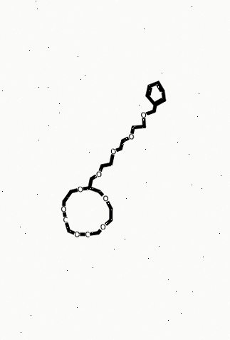 c1ccc(COCCOCCOCCOCC2COCCOCCOCCOCCO2)cc1